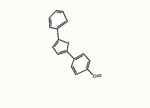 O=Cc1ccc(-c2ccc(-c3ccccc3)s2)cc1